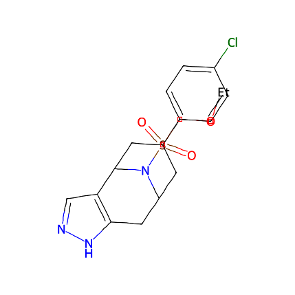 CCOCC1CC2Cc3[nH]ncc3C(C1)N2S(=O)(=O)c1ccc(Cl)cc1